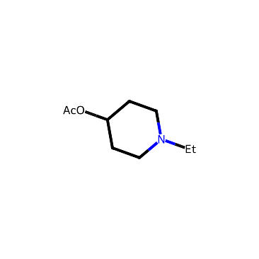 CCN1CCC(OC(C)=O)CC1